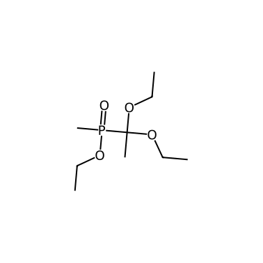 CCOC(C)(OCC)P(C)(=O)OCC